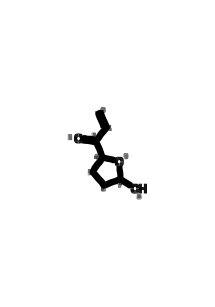 C=CC(=O)C1CCC(O)O1